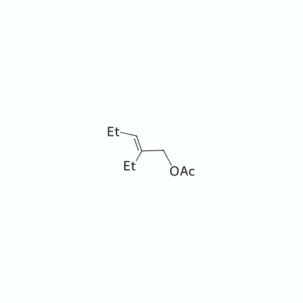 CC/C=C(\CC)COC(C)=O